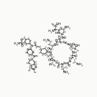 Cc1ccc(N(C(=O)/C=C/c2ccc(C[C@H]3NC(=O)C(CCN)NC(=O)[C@@H](NC(=O)[C@H](CCN)NC(=O)[C@@H](N)[C@@H](C)O)CCNC(=O)[C@H]([C@@H](C)O)NC(=O)[C@H](CCN)NC(=O)[C@H](CCN)NC(=O)[C@H](CC(C)C)NC3=O)cc2)c2nccc(N(C)c3ccc4c(C)n(C)nc4c3)n2)cc1S(N)(=O)=O